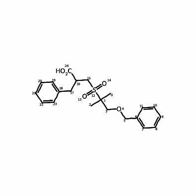 CC(C)(COCc1ccccc1)S(=O)(=O)CC(Cc1ccccc1)C(=O)O